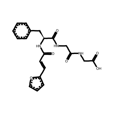 O=C(O)CNC(=O)CNC(=O)[C@H](Cc1ccccc1)NC(=O)C=Cc1ccco1